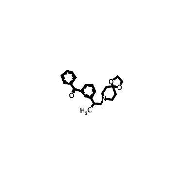 CC(CN1CCC2(CC1)OCCO2)c1cccc(C(=O)c2ccccc2)c1